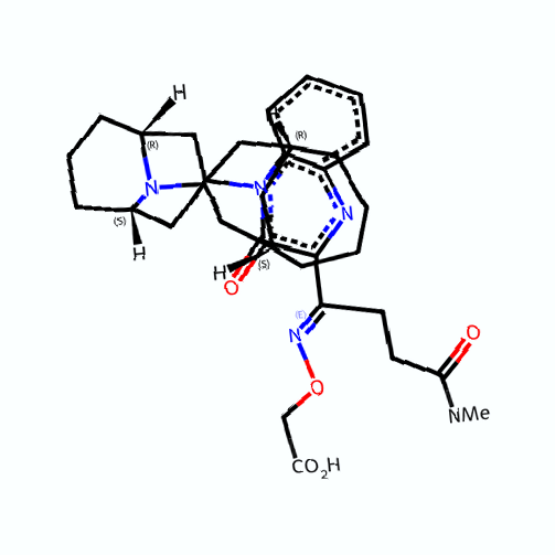 CNC(=O)CC/C(=N\OCC(=O)O)c1nc2ccccc2n(C2C[C@H]3CCC[C@@H](C2)N3C2C[C@H]3CCCC[C@@H](C2)C3)c1=O